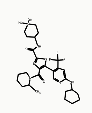 CC1CCCCN1C(=O)c1nc(C(=O)NC2CCS(O)(O)CC2)sc1-c1cnc(NC2CCCCC2)cc1C(F)(F)F